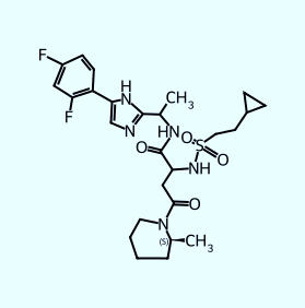 CC(NC(=O)C(CC(=O)N1CCCC[C@@H]1C)NS(=O)(=O)CCC1CC1)c1ncc(-c2ccc(F)cc2F)[nH]1